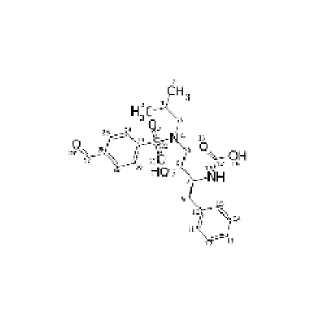 CC(C)CN(C[C@@H](O)[C@H](Cc1ccccc1)NC(=O)O)S(=O)(=O)c1ccc(C=O)cc1